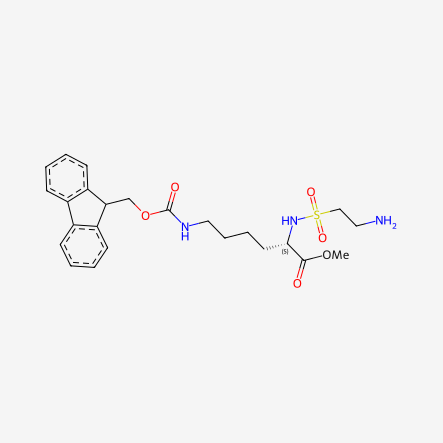 COC(=O)[C@H](CCCCNC(=O)OCC1c2ccccc2-c2ccccc21)NS(=O)(=O)CCN